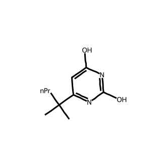 CCCC(C)(C)c1cc(O)nc(O)n1